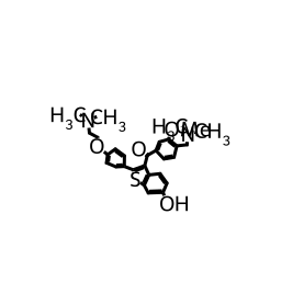 COc1cc(C(=O)c2c(-c3ccc(OCCN(C)C)cc3)sc3cc(O)ccc23)ccc1CN(C)C